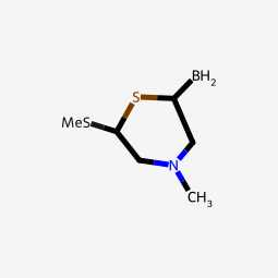 BC1CN(C)CC(SC)S1